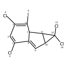 ClC1=CC(Cl)=C(I)C2C1=CC1C2C1(Cl)Cl